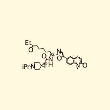 CCC(=O)CCCCC[C@H](NC(=O)[C@H]1CC12CCN(C(C)C)CC2)c1ncc(-c2ccc3c(ccc(=O)n3C)c2)o1